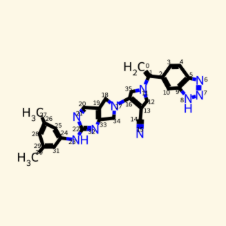 C=C(c1ccc2nn[nH]c2c1)N1CC(C#N)=C(N2Cc3cnc(Nc4cc(C)cc(C)c4)nc3C2)C1